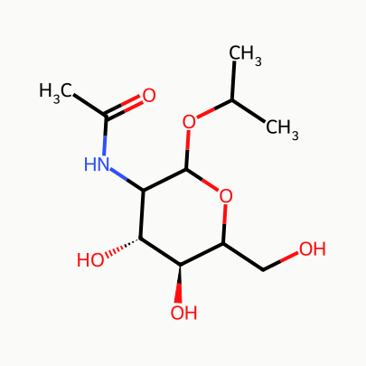 CC(=O)NC1C(OC(C)C)OC(CO)[C@@H](O)[C@@H]1O